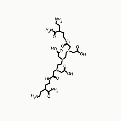 NCCC(CCNC(=O)CN(CCN(CCN(CC(=O)O)CC(=O)NCCC(CCN)C(N)=O)CC(=O)O)CC(=O)O)C(N)=O